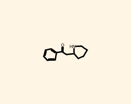 O=C(CC1CCCCN1)c1ccccc1